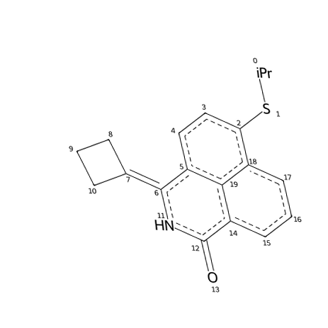 CC(C)Sc1ccc2c(=C3CCC3)[nH]c(=O)c3cccc1c32